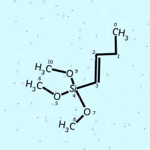 CCC=C[Si](OC)(OC)OC